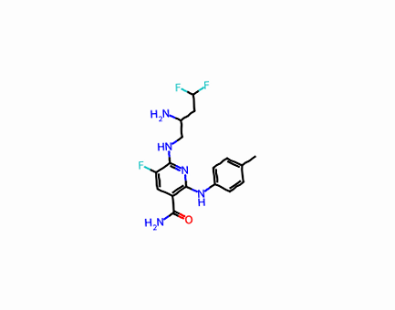 Cc1ccc(Nc2nc(NCC(N)CC(F)F)c(F)cc2C(N)=O)cc1